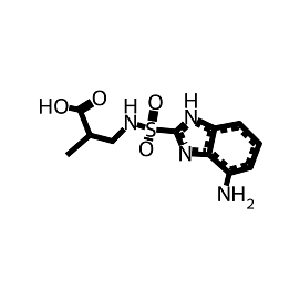 CC(CNS(=O)(=O)c1nc2c(N)cccc2[nH]1)C(=O)O